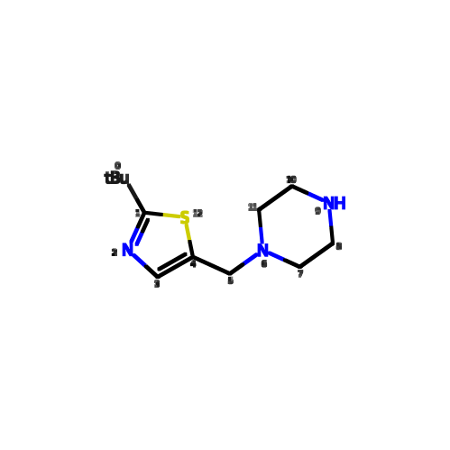 CC(C)(C)c1ncc(CN2CCNCC2)s1